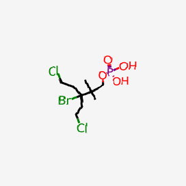 CC(C)(COP(=O)(O)O)C(Br)(CCCl)CCCl